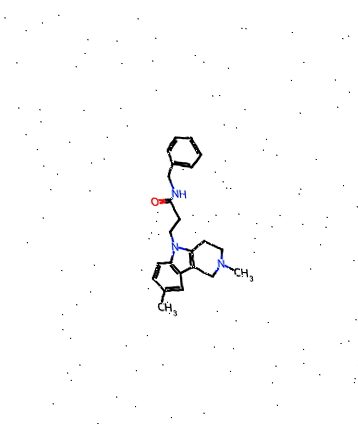 Cc1ccc2c(c1)c1c(n2CCC(=O)NCc2ccccc2)CCN(C)C1